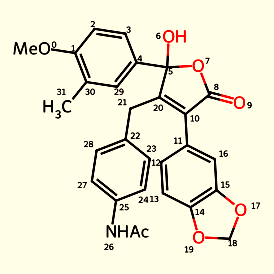 COc1ccc(C2(O)OC(=O)C(c3ccc4c(c3)OCO4)=C2Cc2ccc(NC(C)=O)cc2)cc1C